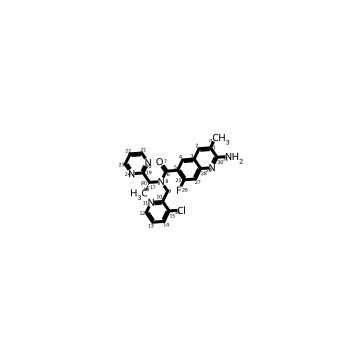 Cc1cc2cc(C(=O)N(Cc3ncccc3Cl)[C@H](C)c3ncccn3)c(F)cc2nc1N